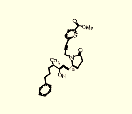 COC(=O)c1ccc(C#CCN2C(=O)CC[C@@H]2C=CC(O)C(C)CCCc2ccccc2)s1